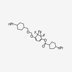 CCCC1CCC(COCOC2=CC=C(OC(=O)C3CCC(CCC)CC3)C(F)(F)C2(F)F)CC1